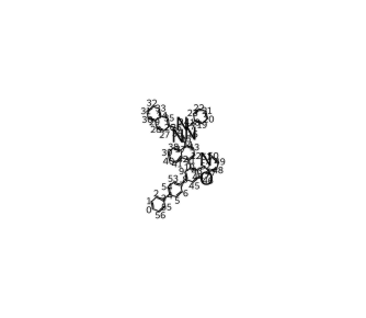 c1ccc(-c2ccc(-c3cc(-c4ccc(-c5nc(-c6ccccc6)nc(-c6ccc7ccccc7c6)n5)c5ccccc45)c4c(c3)oc3cccnc34)cc2)cc1